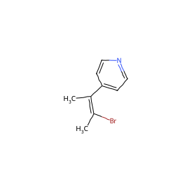 CC(Br)=C(C)c1ccncc1